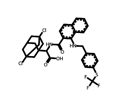 O=C(NC(C(=O)O)C12CC3CC(Cl)(CC(Cl)(C3)C1)C2)c1ccc2ccccc2c1NCc1ccc(SC(F)(F)F)cc1